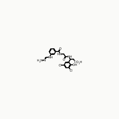 NN=CNc1cccc(C(=O)NCC(=O)NC(CC(=O)O)c2cc(Cl)cc(Cl)c2O)c1